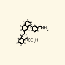 NCc1cccc(-c2cccc3ccc(COc4ccccc4CC(=O)O)cc23)c1